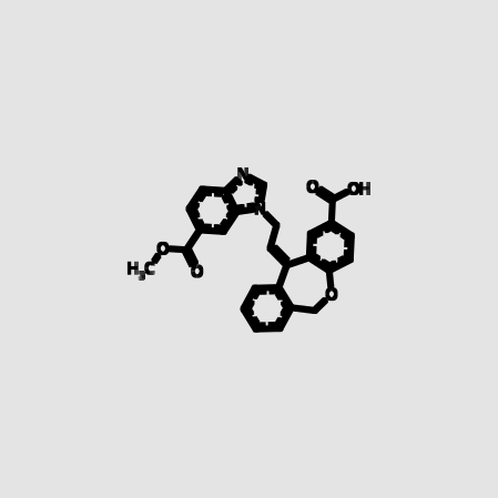 COC(=O)c1ccc2ncn(CC=C3c4ccccc4COc4ccc(C(=O)O)cc43)c2c1